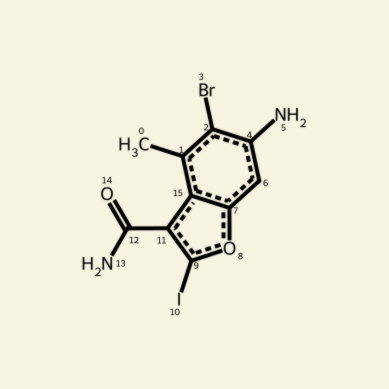 Cc1c(Br)c(N)cc2oc(I)c(C(N)=O)c12